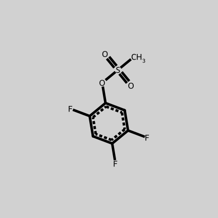 CS(=O)(=O)Oc1cc(F)c(F)cc1F